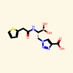 O=C(Cc1cccs1)N[C@@H](Cn1cc(C(=O)O)nn1)B(O)O